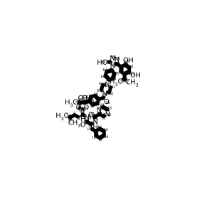 CC(C)CC[C@H](NC(O)[C@H](Cc1ccccc1)NC(=O)c1cnccn1)B1OC(C)(C)C(C)(c2ccc(C(=O)N3CCN(c4ccc(-n5c(O)nnc5-c5cc(C(C)C)c(O)cc5O)cc4)CC3)cc2)O1